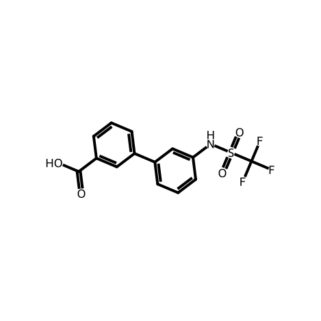 O=C(O)c1cccc(-c2cccc(NS(=O)(=O)C(F)(F)F)c2)c1